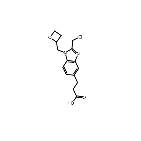 O=C(O)CCc1ccc2c(c1)nc(CCl)n2CC1CCO1